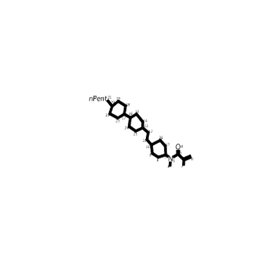 C=C(C)C(=O)N(C)C1CCC(CCC2CCC(C3CCC(CCCCC)CC3)CC2)CC1